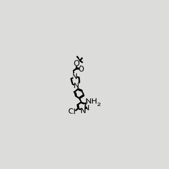 CC(C)(C)OC(=O)CN1CCN(c2ccc(-c3cc(Cl)nnc3N)cc2)CC1